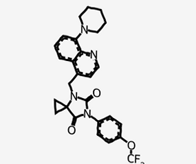 O=C1N(c2ccc(OC(F)(F)F)cc2)C(=O)C2(CC2)N1Cc1ccnc2c(N3CCCCC3)cccc12